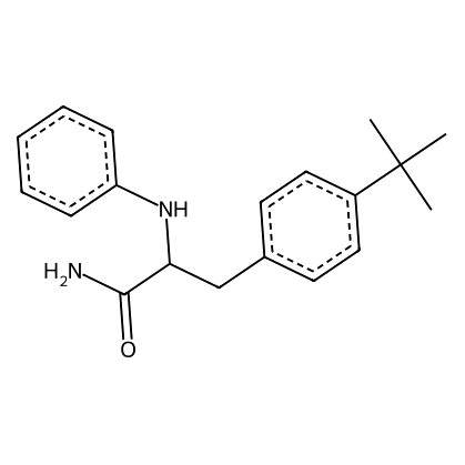 CC(C)(C)c1ccc(CC(Nc2ccccc2)C(N)=O)cc1